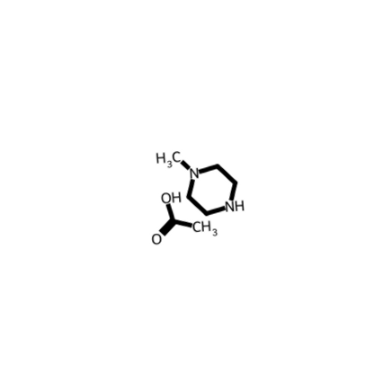 CC(=O)O.CN1CCNCC1